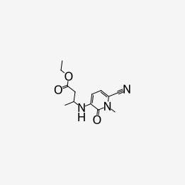 CCOC(=O)CC(C)Nc1ccc(C#N)n(C)c1=O